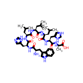 CC(C)C[C@H](NC(=O)[C@H](CC(C)C)NC(=O)[C@H](CC(C)C)NC(=O)[C@H](Cc1cnc[nH]1)NC(=O)[C@@H](N)Cc1c[nH]c2ccccc12)C(=O)N[C@@H](CC1=CNCN1)C(=O)N[C@@H](C)C(=O)O